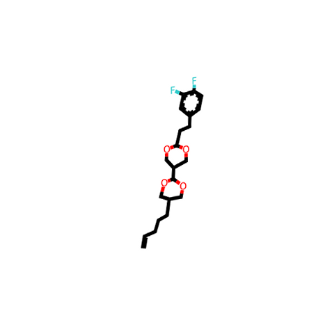 C=CCCCC1COC(C2COC(CCc3ccc(F)c(F)c3)OC2)OC1